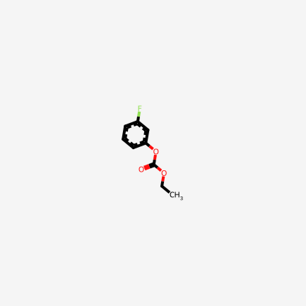 CCOC(=O)Oc1cccc(F)c1